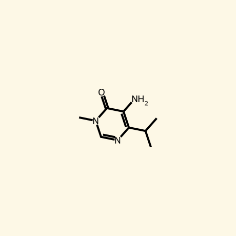 CC(C)c1ncn(C)c(=O)c1N